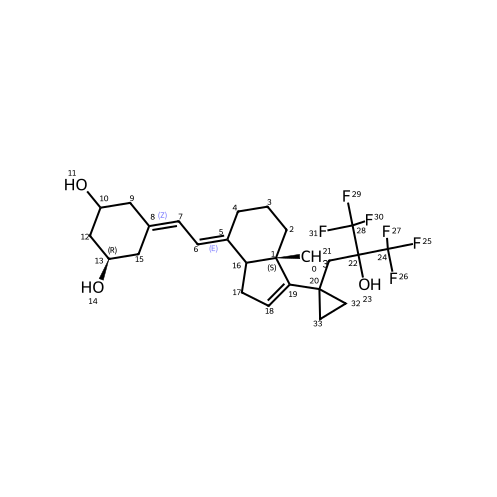 C[C@]12CCC/C(=C\C=C3\CC(O)C[C@H](O)C3)C1CC=C2C1(CC(O)(C(F)(F)F)C(F)(F)F)CC1